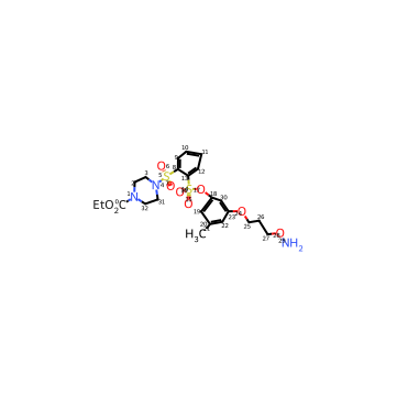 CCOC(=O)N1CCN(S(=O)(=O)c2ccccc2S(=O)(=O)Oc2cc(C)cc(OCCCON)c2)CC1